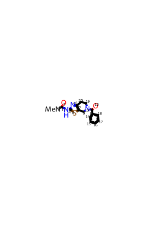 CNC(=O)Nc1nc2c(s1)CN(C(=O)c1ccccc1)CC2